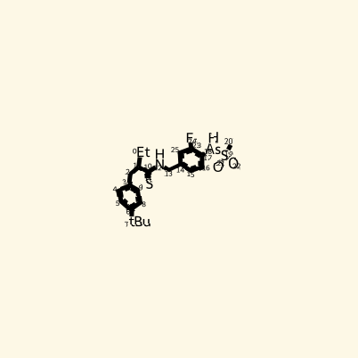 CCC(Cc1ccc(C(C)(C)C)cc1)C(=S)NCc1ccc([AsH]S(C)(=O)=O)c(F)c1